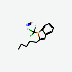 CCCCCc1cc2ccccc2[s+]1C(F)(F)F.[C-]#N